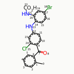 Cc1ccccc1C(=O)c1ccc(Nc2ccc(Br)cc2NC(=O)O)cc1Cl